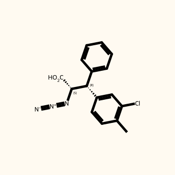 Cc1ccc([C@@H](c2ccccc2)[C@H](N=[N+]=[N-])C(=O)O)cc1Cl